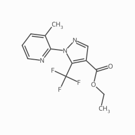 CCOC(=O)c1cnn(-c2ncccc2C)c1C(F)(F)F